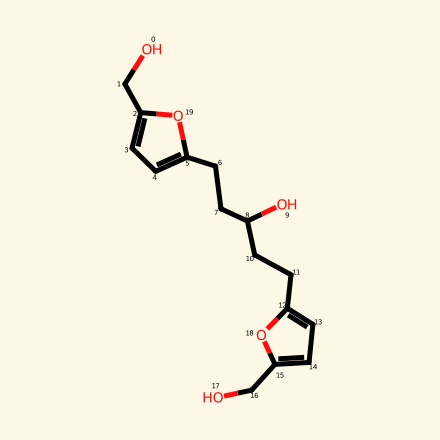 OCc1ccc(CCC(O)CCc2ccc(CO)o2)o1